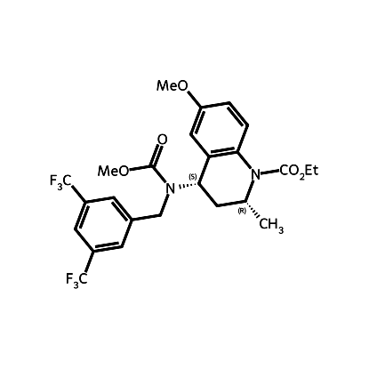 CCOC(=O)N1c2ccc(OC)cc2[C@@H](N(Cc2cc(C(F)(F)F)cc(C(F)(F)F)c2)C(=O)OC)C[C@H]1C